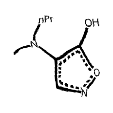 CCCN(C)c1cnoc1O